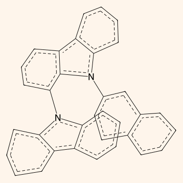 c1ccc2cc(-n3c4ccccc4c4cccc(-n5c6ccccc6c6ccccc65)c43)ccc2c1